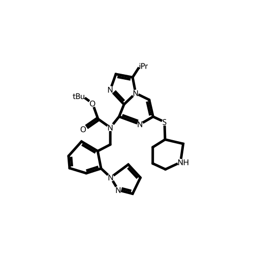 CC(C)c1cnc2c(N(Cc3ccccc3-n3cccn3)C(=O)OC(C)(C)C)nc(SC3CCCNC3)cn12